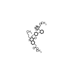 CCCCc1nc2ccc(CC(=O)OC)cc2c(=O)n1Cc1ccc(-c2ccccc2-c2nnnn2COC)cc1